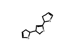 C1=CS[C](C2C=C(C3CC=CS3)SC2)C1